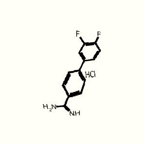 Cl.N=C(N)c1ccc(-c2ccc(F)c(F)c2)cc1